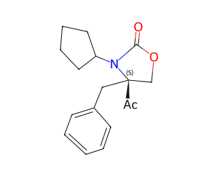 CC(=O)[C@]1(Cc2ccccc2)COC(=O)N1C1CCCC1